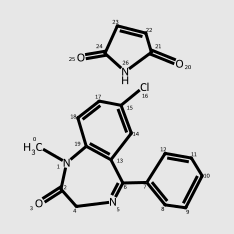 CN1C(=O)CN=C(c2ccccc2)c2cc(Cl)ccc21.O=C1C=CC(=O)N1